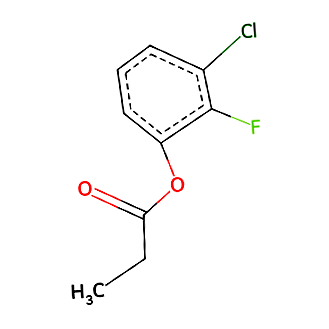 CCC(=O)Oc1cccc(Cl)c1F